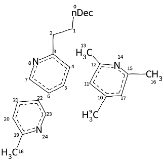 CCCCCCCCCCCCc1ccccn1.Cc1cc(C)nc(C)c1.Cc1ccccn1